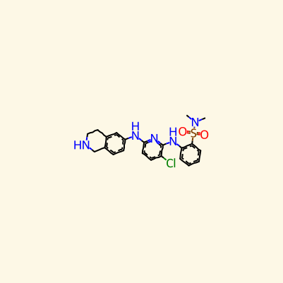 CN(C)S(=O)(=O)c1ccccc1Nc1nc(Nc2ccc3c(c2)CCNC3)ccc1Cl